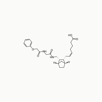 O=C(O)CCC/C=C\C[C@@H]1[C@@H]2CC[C@@H](C2)[C@@H]1CNC(=O)CNC(=O)COc1ccccc1